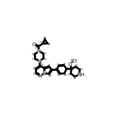 CCOC1(C2C=CC(c3cc4c(N5CCN(C(=O)C6CC6)CC5)ccnn4c3)=CC2)CCNCC1